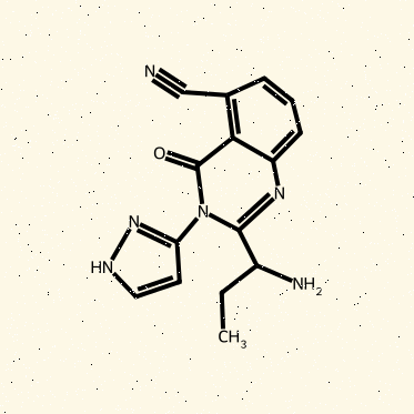 CCC(N)c1nc2cccc(C#N)c2c(=O)n1-c1cc[nH]n1